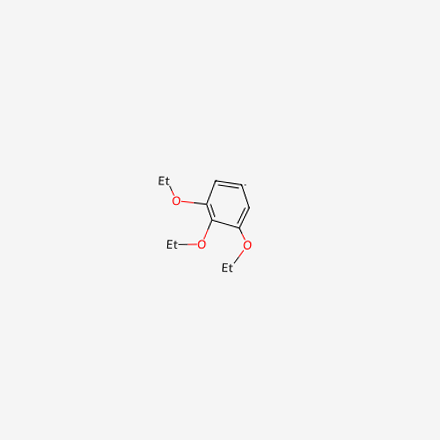 CCOc1c[c]cc(OCC)c1OCC